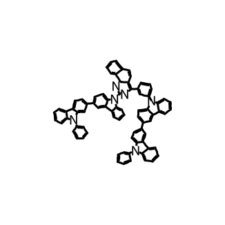 c1ccc(-n2c3ccccc3c3cc(-c4ccc5c(c4)c4ccccc4n5-c4cccc(-c5nc(-n6c7ccccc7c7cc(-c8ccc9c%10ccccc%10n(-c%10ccccc%10)c9c8)ccc76)nc6c5ccc5ccccc56)c4)ccc32)cc1